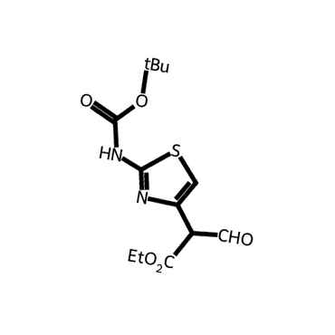 CCOC(=O)C(C=O)c1csc(NC(=O)OC(C)(C)C)n1